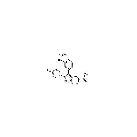 C=C(OC)N1CCn2nc(-c3ccc(F)cc3)c(-c3ccnc(NC(C)=O)c3)c2C1